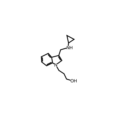 OCCCn1cc(CNC2CC2)c2ccccc21